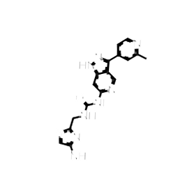 Cc1cc(-c2n[nH]c3cc(NC(=O)NCc4nc(N)cs4)ncc23)ccn1